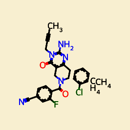 C.C.CC#CCn1c(N)nc2c(c1=O)CN(C(=O)c1ccc(C#N)cc1F)CC2.Clc1ccccc1